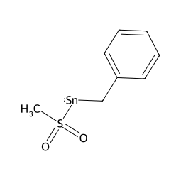 C[S](=O)(=O)[Sn][CH2]c1ccccc1